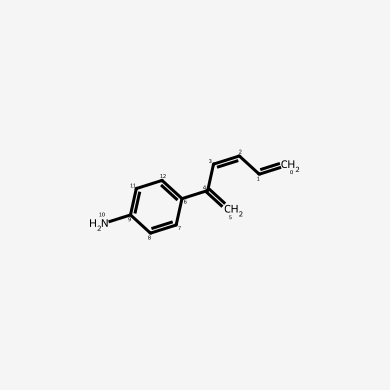 C=C/C=C\C(=C)c1ccc(N)cc1